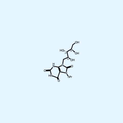 [CH2]CCn1c(=O)n(C[C@H](O)[C@H](O)[C@H](O)CO)c2[nH]c(=O)[nH]c(=O)c21